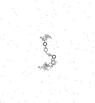 CC(C)(C)OC(=O)CC[C@@H](C(N)=O)N1Cc2c(cccc2N2CC(CC3CCN(c4ccc(C(=O)OC(C)(C)C)cc4)CC3)C2)C1=O